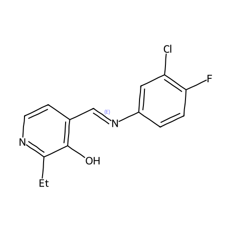 CCc1nccc(/C=N/c2ccc(F)c(Cl)c2)c1O